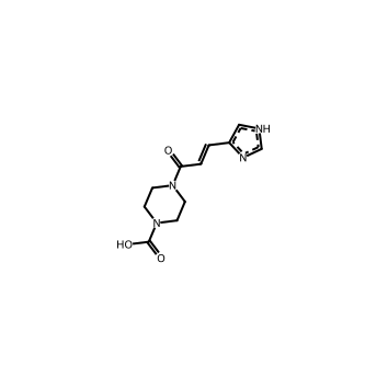 O=C(O)N1CCN(C(=O)/C=C/c2c[nH]cn2)CC1